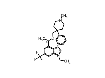 CCn1cnc2c([C@@H](C)OCC3(c4ccccc4)CCN(C)CC3)cc(C(F)(F)F)cc21